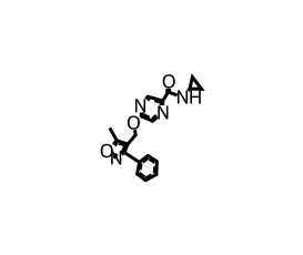 Cc1onc(-c2ccccc2)c1COc1cnc(C(=O)NC2CC2)cn1